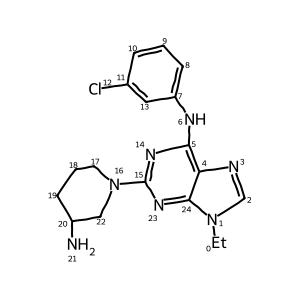 CCn1cnc2c(Nc3cccc(Cl)c3)nc(N3CCCC(N)C3)nc21